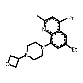 CCc1cc(N2CCN(C3COC3)CC2)c2nc(C)cc(C(C)C)c2c1